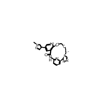 C[C@H]1CCCOc2ncc(-c3cnn(C)c3)cc2C(=O)Nc2cccc(n2)-c2nncn21